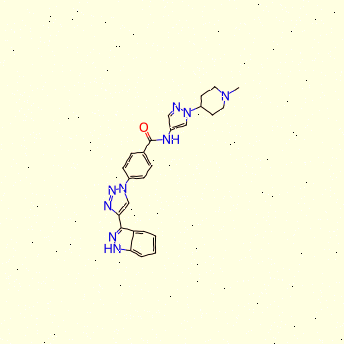 CN1CCC(n2cc(NC(=O)c3ccc(-n4cc(-c5n[nH]c6ccccc56)nn4)cc3)cn2)CC1